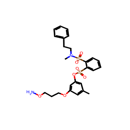 Cc1cc(OCCCON)cc(OS(=O)(=O)c2ccccc2S(=O)(=O)N(C)CCc2ccccc2)c1